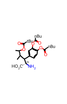 CCCCC(=O)Oc1ccc(C(C(C)C(C)OC(=O)C(C)(C)C)[C@H](N)C(=O)O)cc1OC(=O)CCCC